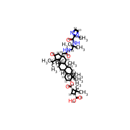 CC(C)C1=C2[C@H]3CC[C@@H]4[C@@]5(C)CC[C@H](OC(=O)[C@H]6C[C@@H](C(=O)O)C6(C)C)C(C)(C)[C@@H]5CC[C@@]4(C)[C@]3(C)CC[C@@]2(CC(=O)NCC(C)(C)NC(=O)c2nccn2C)CC1=O